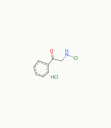 Cl.O=C(CNCl)c1ccccc1